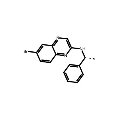 C[C@@H](Nc1cnc2cc(Br)ccc2n1)c1ccccc1